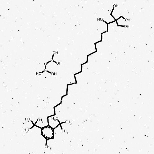 Cc1cc(C(C)(C)C)c(CCCCCCCCCCCCCCCCCCC(O)C(CO)(CO)CO)c(C(C)(C)C)c1.OP(O)OP(O)O